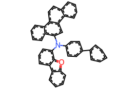 c1ccc(-c2ccc(N(c3cc4c5ccccc5ccc4c4ccccc34)c3cccc4c3oc3ccccc34)cc2)cc1